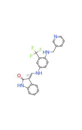 O=C1Nc2ccccc2/C1=C\Nc1ccc(NCc2cccnc2)c(C(F)(F)F)c1